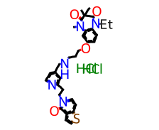 CCN1C(=O)C(C)(C)C(=O)N(C)c2cc(OCCCNCc3ccnc(CCn4ccc5sccc5c4=O)c3)ccc21.Cl.Cl